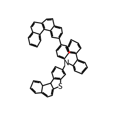 C1=CC2=CC=C3Sc4cc(N(c5ccc(-c6ccc7ccc8ccc9ccccc9c8c7c6)cc5)c5ccccc5-c5ccccc5)ccc4C3C2C=C1